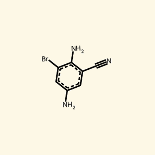 N#Cc1cc(N)cc(Br)c1N